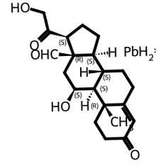 C[C@]12CCC(=O)C=C1CC[C@@H]1[C@@H]2[C@@H](O)C[C@]2(C=O)[C@@H](C(=O)CO)CC[C@@H]12.[PbH2]